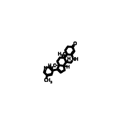 Cc1cncc(C2=CC[C@H]3[C@@H]4CNC5=CC(=O)CC[C@]5(C)[C@H]4CC[C@]23C)c1